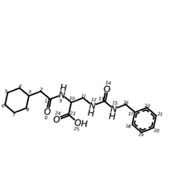 O=C(CC1CCCCC1)NC(CNC(=O)NCc1ccccc1)C(=O)O